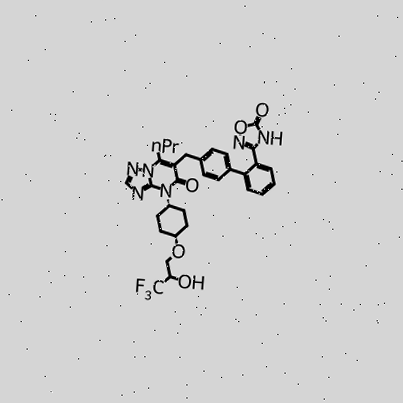 CCCc1c(Cc2ccc(-c3ccccc3-c3noc(=O)[nH]3)cc2)c(=O)n([C@H]2CC[C@H](OCC(O)C(F)(F)F)CC2)c2ncnn12